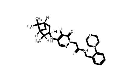 C[C@@H]1[C@H]2C[C@@H](C[C@H]1Nc1cnn(CC(=O)NCc3ccccc3N3CCOCC3)c(=O)c1Cl)C2(C)C